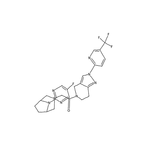 O=C(CN1CC2CCC(C1)N2c1ncc(F)cn1)N1CCc2nn(-c3ccc(C(F)(F)F)cn3)cc2C1